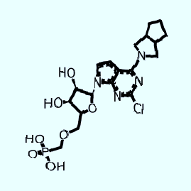 O=P(O)(O)COCC1O[C@@H](n2ccc3c(N4CC5CCCC5C4)nc(Cl)nc32)[C@H](O)[C@@H]1O